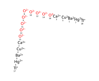 [Ba+2].[Ba+2].[Ca+2].[Ca+2].[Cu+2].[Cu+2].[Hg+2].[Hg+2].[O-2].[O-2].[O-2].[O-2].[O-2].[O-2].[O-2].[O-2].[O-2].[Tl+].[Tl+]